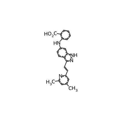 Cc1cc(C)nc(C=Cc2n[nH]c3cc(Nc4ccccc4C(=O)O)ccc23)c1